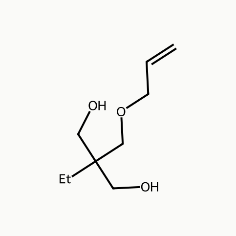 C=CCOCC(CC)(CO)CO